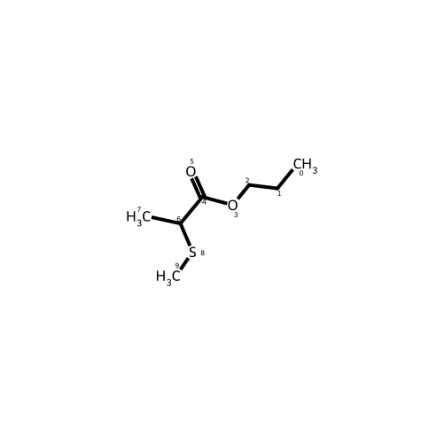 CCCOC(=O)C(C)SC